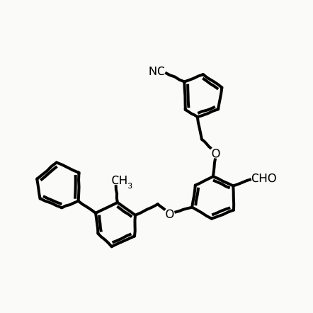 Cc1c(COc2ccc(C=O)c(OCc3cccc(C#N)c3)c2)cccc1-c1ccccc1